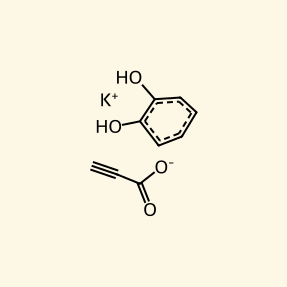 C#CC(=O)[O-].Oc1ccccc1O.[K+]